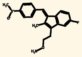 CC1=C(CCON)c2cc(F)ccc2C1=Cc1ccc([S+](C)[O-])cc1